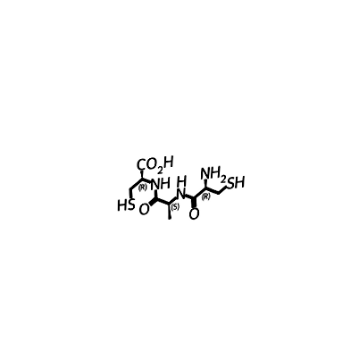 C[C@H](NC(=O)[C@@H](N)CS)C(=O)N[C@@H](CS)C(=O)O